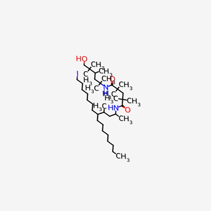 CCCCCCCCC(CCCCCCCI)C(C)CC(C)NC(=O)C(C)(C)CC(C)(C)C(=O)NC(C)(C)CC(C)C(C)(C)CO